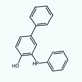 Oc1ccc(-c2ccccc2)cc1Pc1ccccc1